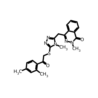 Cc1ccc(C(=O)CSc2nnc(Cc3nn(C)c(=O)c4ccccc34)n2C)c(C)c1